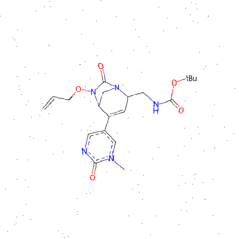 C=CCON1C(=O)N2CC1C(c1cnc(=O)n(C)c1)=CC2CNC(=O)OC(C)(C)C